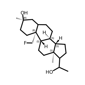 CC(O)C1CC[C@H]2[C@@H]3CCC4C[C@](C)(O)CC[C@]4(CF)[C@H]3CC[C@]12C